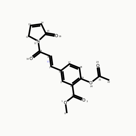 COC(=O)c1cc(/C=C/C(=O)N2CC=CC2=O)ccc1OC(C)=O